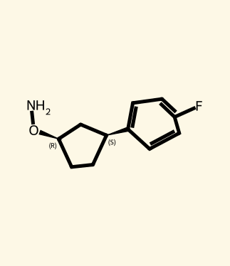 NO[C@@H]1CC[C@H](c2ccc(F)cc2)C1